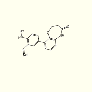 CC(C)Nc1ccc(-c2cccc3c2OCCC(=O)N3)cc1C=N